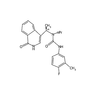 CCCN(C(=O)Nc1ccc(F)c(C)c1)[C@H](C)c1c[nH]c(=O)c2ccccc12